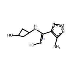 Nc1nonc1/C(=N/O)NC1CC(O)C1